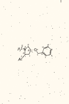 CC(=O)[C@@H]1C[C@@H](OCc2ccccc2)CN1C